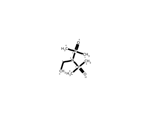 CCN(P(C)(C)=O)P(C)(C)=O